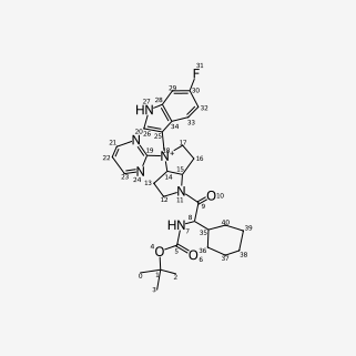 CC(C)(C)OC(=O)NC(C(=O)N1CCC2C1CC[N+]2(c1ncccn1)c1c[nH]c2cc(F)ccc12)C1CCCCC1